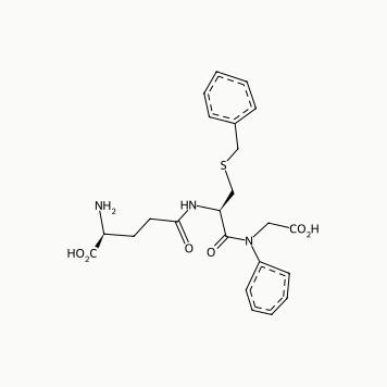 N[C@@H](CCC(=O)N[C@@H](CSCc1ccccc1)C(=O)N(CC(=O)O)c1ccccc1)C(=O)O